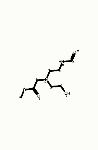 COC(=O)CN(CCO)CCNC=O